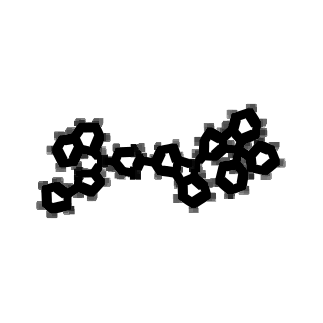 C1=NC(c2ccc3c(c2)c2ccccc2n3-c2ccc3c(c2)C(c2ccccc2)(c2ccccc2)c2ccccc2-3)=NCC1N(c1cccc2ccccc12)C1CC=C(c2ccccc2)S1